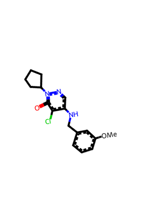 COc1cccc(CNc2cnn(C3CCCC3)c(=O)c2Cl)c1